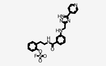 O=C(NCCc1ccccc1OS(=O)(=O)F)c1cccc(NCc2n[nH]c(-c3ccncc3)n2)c1